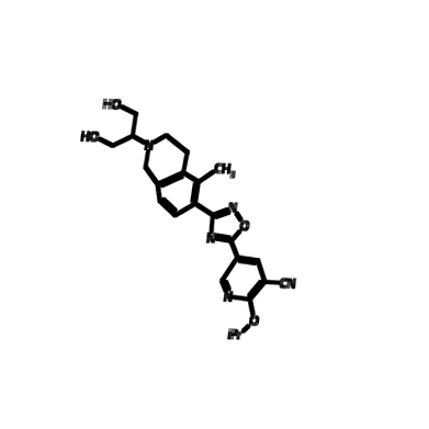 Cc1c(-c2noc(-c3cnc(OC(C)C)c(C#N)c3)n2)ccc2c1CCN(C(CO)CO)C2